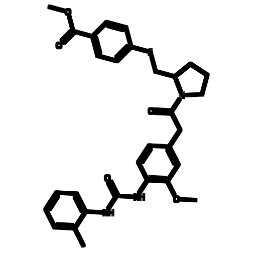 COC(=O)c1ccc(SCC2CCCN2C(=O)Cc2ccc(NC(=O)Nc3ccccc3C)c(OC)c2)cc1